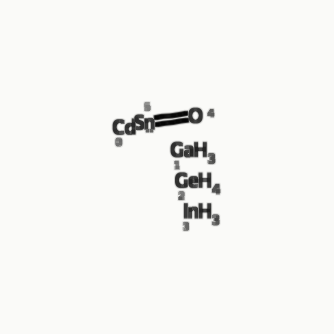 [Cd].[GaH3].[GeH4].[InH3].[O]=[Sn]